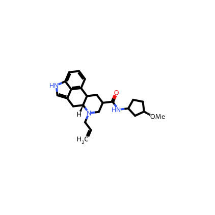 C=CCN1CC(C(=O)NC2CCC(OC)C2)CC2c3cccc4[nH]cc(c34)C[C@H]21